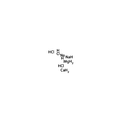 Cl.Cl.Cl.[CaH2].[MgH2].[NaH].[NaH]